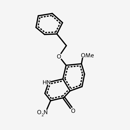 COc1ccc2c(=O)c([N+](=O)[O-])c[nH]c2c1OCc1ccccc1